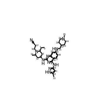 CCC1CC(Nc2nc(Nc3cc(C)[nH]n3)c3ccc(NCC4CCN(C)CC4)cc3n2)CC(C)N1CCC#N